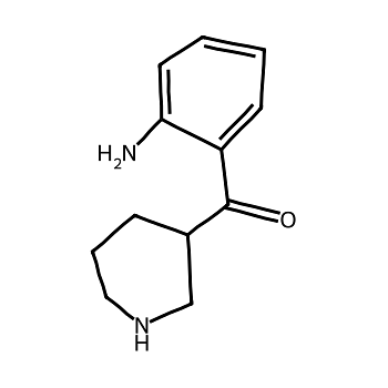 Nc1ccccc1C(=O)C1CCCNC1